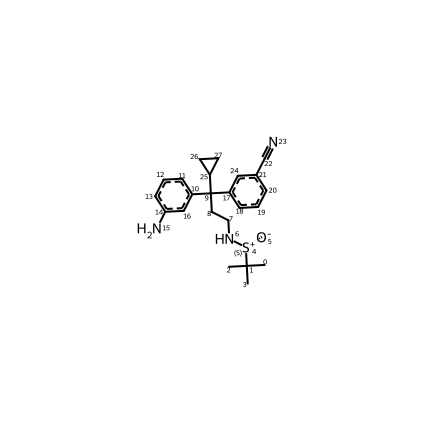 CC(C)(C)[S@@+]([O-])NCCC(c1cccc(N)c1)(c1cccc(C#N)c1)C1CC1